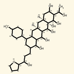 CC1CCC(C2CC(CCC(O)C3CCCO3)C(O)C3C(O)C4C(O)[C@]5(O)C(O)C(C(C)O)C(O)C[C@@H]5C[C@@H]4CC23)CC1